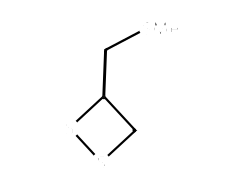 CSCC1CSS1